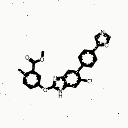 COC(=O)c1cc(Oc2nc3cc(-c4ccc(-c5cnco5)cc4)c(Cl)cc3[nH]2)ccc1C